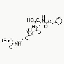 CC(C)(C)OC(=O)NCCCOc1cc(C(=O)NCC(NC(=O)OCc2ccccc2)C(=O)O)on1